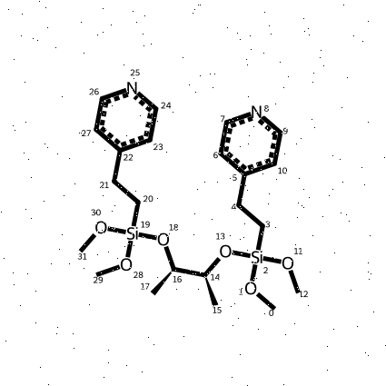 CO[Si](CCc1ccncc1)(OC)O[C@@H](C)[C@@H](C)O[Si](CCc1ccncc1)(OC)OC